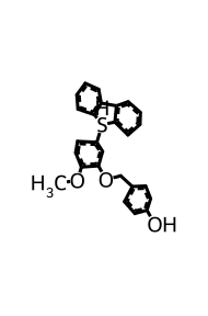 COc1ccc([SH]2c3ccccc3-c3ccccc32)cc1OCc1ccc(O)cc1